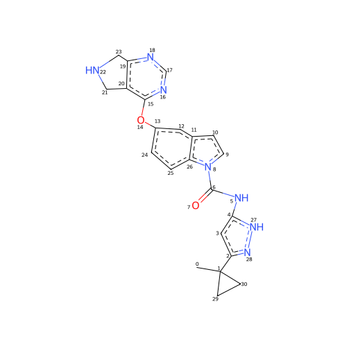 CC1(c2cc(NC(=O)n3ccc4cc(Oc5ncnc6c5CNC6)ccc43)[nH]n2)CC1